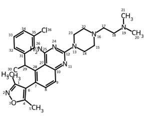 Cc1noc(C)c1-c1ccc2nc(N3CCN(CCN(C)C)CC3)nc(N)c2c1C(C)c1cccc(Cl)c1